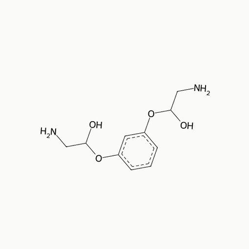 NCC(O)Oc1cccc(OC(O)CN)c1